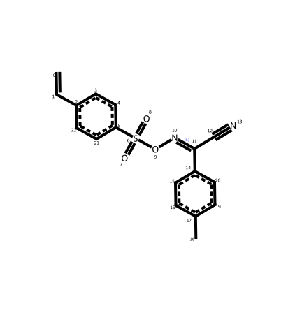 C=Cc1ccc(S(=O)(=O)O/N=C(/C#N)c2ccc(C)cc2)cc1